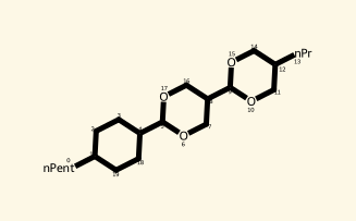 CCCCCC1CCC(C2OCC(C3OCC(CCC)CO3)CO2)CC1